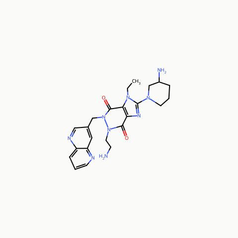 CCn1c(N2CCCC(N)C2)nc2c(=O)n(CCN)n(Cc3cnc4cccnc4c3)c(=O)c21